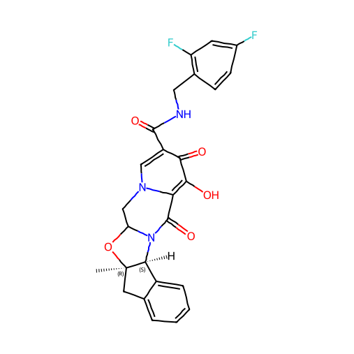 C[C@@]12Cc3ccccc3[C@@H]1N1C(=O)c3c(O)c(=O)c(C(=O)NCc4ccc(F)cc4F)cn3CC1O2